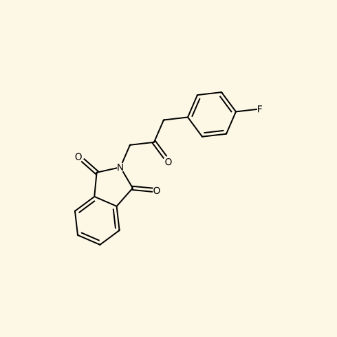 O=C(Cc1ccc(F)cc1)CN1C(=O)c2ccccc2C1=O